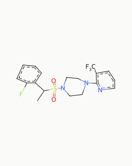 CC(c1ccccc1F)S(=O)(=O)N1CCN(c2ncccc2C(F)(F)F)CC1